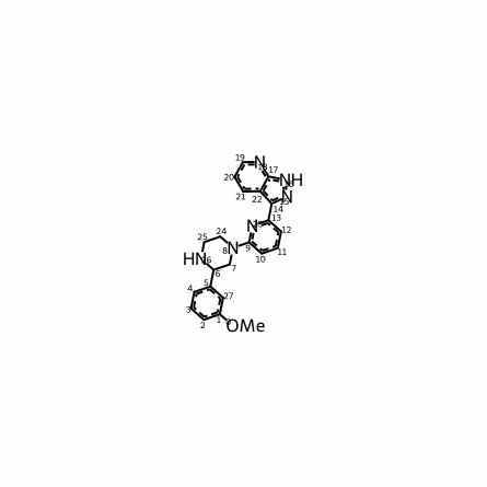 COc1cccc(C2CN(c3cccc(-c4n[nH]c5ncccc45)n3)CCN2)c1